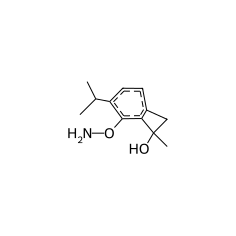 CC(C)c1ccc2c(c1ON)C(C)(O)C2